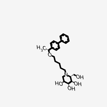 C[C@@H](OCCCCCN1C[C@H](O)[C@@H](O)[C@H](O)[C@H]1CO)c1ccc(-c2ccccc2)cc1